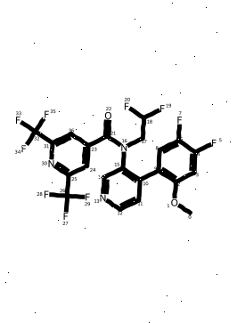 COc1cc(F)c(F)cc1-c1ccncc1N(CC(F)F)C(=O)c1cc(C(F)(F)F)nc(C(F)(F)F)c1